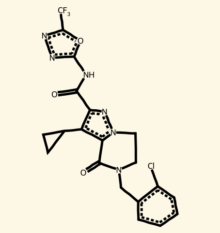 O=C(Nc1nnc(C(F)(F)F)o1)c1nn2c(c1C1CC1)C(=O)N(Cc1ccccc1Cl)CC2